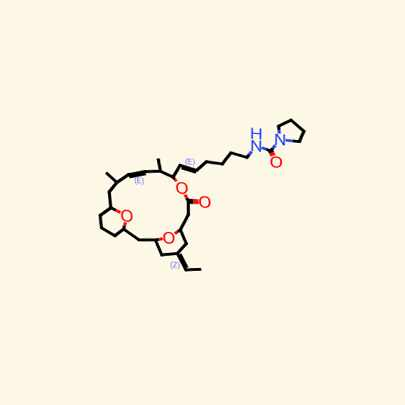 C/C=C1\CC2CC(=O)OC(/C=C/CCCCNC(=O)N3CCCC3)C(C)/C=C/C(C)CC3CCCC(CC(C1)O2)O3